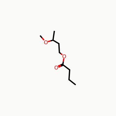 CCCC(=O)OCCC(C)OC